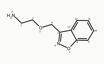 NCCOCc1noc2ccccc12